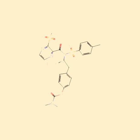 Cc1ccc(S(=O)(=O)N(C(=O)c2nccnc2S(C)(=O)=O)[C@@H](Cc2ccc(OC(=O)N(C)C)cc2)C(=O)O)cc1